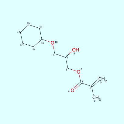 C=C(C)C(=O)OCC(O)COC1CCCCC1